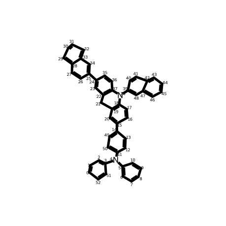 c1ccc(N(c2ccccc2)c2ccc(-c3ccc4c(c3)Cc3cc(-c5ccc6ccccc6c5)ccc3N4c3ccc4ccccc4c3)cc2)cc1